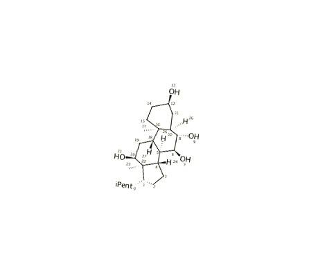 CCC[C@@H](C)[C@H]1CC[C@H]2[C@@H]3[C@H](O)[C@@H](O)[C@@H]4C[C@H](O)CC[C@]4(C)[C@H]3C[C@H](O)[C@]12C